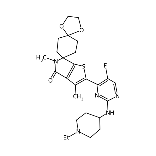 CCN1CCC(Nc2ncc(F)c(-c3sc4c(c3C)C(=O)N(C)C43CCC4(CC3)OCCO4)n2)CC1